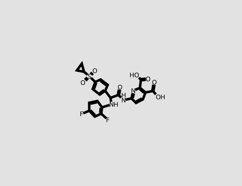 O=C(O)c1ccc(NC(=O)C(Nc2ccc(F)cc2F)c2ccc(S(=O)(=O)C3CC3)cc2)nc1C(=O)O